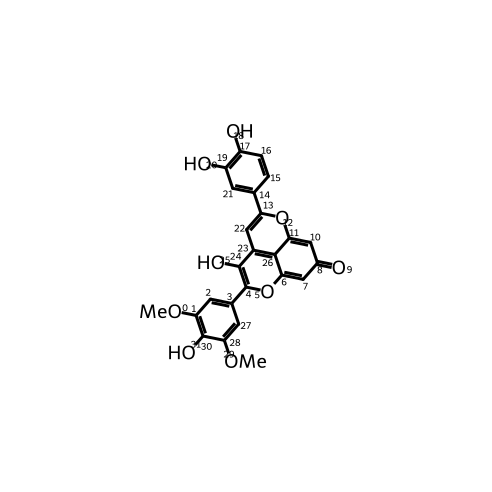 COc1cc(-c2oc3cc(=O)cc4oc(-c5ccc(O)c(O)c5)cc(c2O)c43)cc(OC)c1O